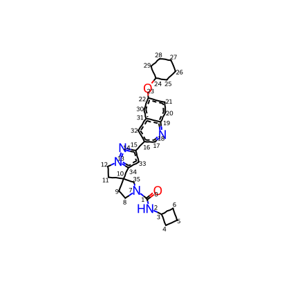 O=C(NC1CCC1)N1CCC2(CCn3nc(-c4cnc5ccc(OC6CCCCC6)cc5c4)cc32)C1